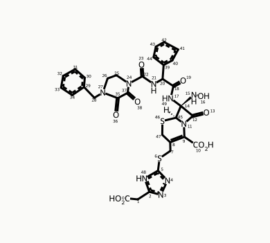 O=C(O)Cc1nnc(SCC2=C(C(=O)O)N3C(=O)[C@@](NO)(NC(=O)C(NC(=O)N4CCN(Cc5ccccc5)C(=O)C4=O)c4ccccc4)[C@@H]3SC2)[nH]1